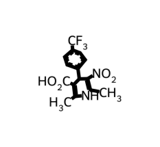 CC1=C(C(=O)O)C(c2ccc(C(F)(F)F)cc2)C([N+](=O)[O-])=C(C)N1